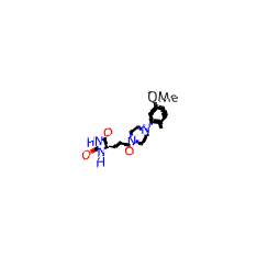 COc1ccc(C)c(N2CCN(C(=O)CC[C@H]3NC(=O)NC3=O)CC2)c1